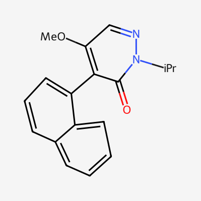 COc1cnn(C(C)C)c(=O)c1-c1cccc2ccccc12